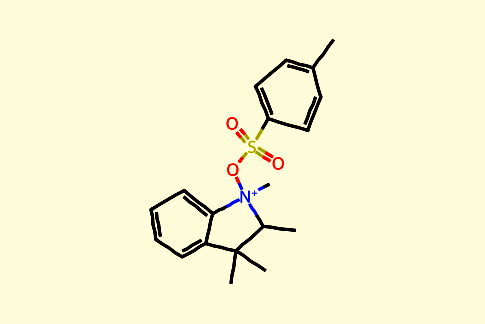 Cc1ccc(S(=O)(=O)O[N+]2(C)c3ccccc3C(C)(C)C2C)cc1